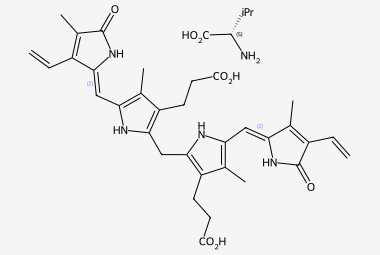 C=CC1=C(C)/C(=C/c2[nH]c(Cc3[nH]c(/C=C4\NC(=O)C(C)=C4C=C)c(C)c3CCC(=O)O)c(CCC(=O)O)c2C)NC1=O.CC(C)[C@H](N)C(=O)O